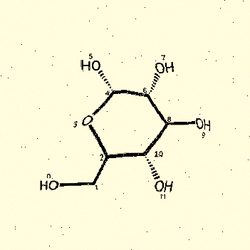 OCC1O[C@H](O)[C@H](O)C(O)[C@@H]1O